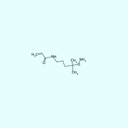 C=CC(=O)NCCCC(C)(C)O[SiH3]